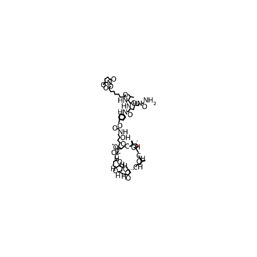 C=C1C2CC3OC(C[C@H](O)CNC(=O)OCc4ccc(NC(=O)C(CCCNC(N)=O)NC(=O)[C@@H](NC(=O)CCCCCC(=O)ON5C(=O)CCC5=O)C(C)C)cc4)[C@H](OC)[C@H]3CC(=O)C[C@H]3CC[C@@H]4O[C@@H]5C[C@@H](O[C@@]6(CC[C@H]7CC(=C)[C@H](CC[C@@H](C[C@H]1C)O2)O7)C[C@@H](OC)[C@@H]5O6)[C@H]4O3